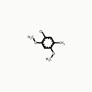 COc1cc(OC)c(Cl)cc1C